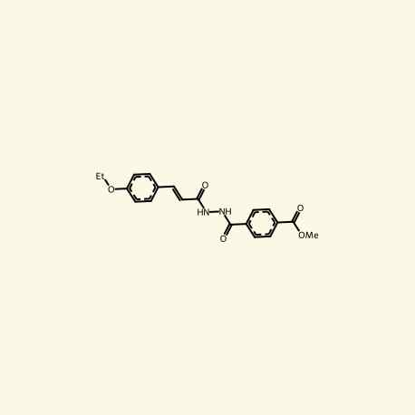 CCOc1ccc(C=CC(=O)NNC(=O)c2ccc(C(=O)OC)cc2)cc1